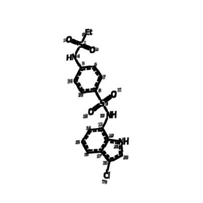 CCS(=O)(=O)Nc1ccc(S(=O)(=O)Nc2cccc3c(Cl)c[nH]c23)cc1